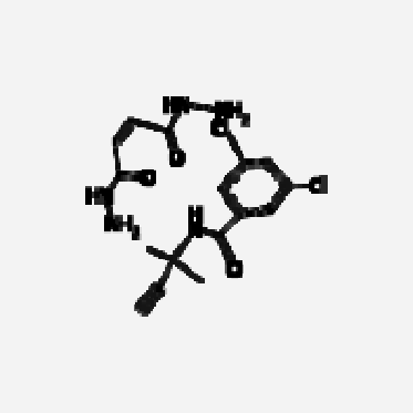 C#CC(C)(C)NC(=O)c1cc(Cl)cc(Cl)c1.NNC(=O)/C=C\C(=O)NN